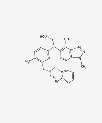 Cc1ccc(C(CC(=O)O)c2ccc3c(nnn3C)c2C)cc1CN(C)Cc1ccccc1Br